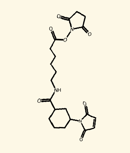 O=C(CCCCCNC(=O)C1CCCC(N2C(=O)C=CC2=O)C1)ON1C(=O)CCC1=O